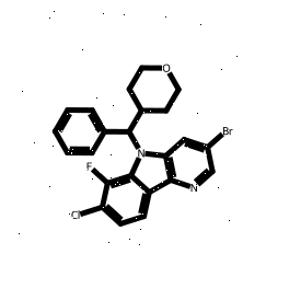 Fc1c(Cl)ccc2c3ncc(Br)cc3n(C(c3ccccc3)C3CCOCC3)c12